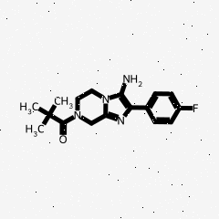 CC(C)(C)C(=O)N1CCn2c(nc(-c3ccc(F)cc3)c2N)C1